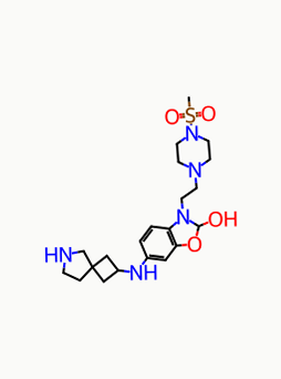 CS(=O)(=O)N1CCN(CCN2c3ccc(NC4CC5(CCNC5)C4)cc3OC2O)CC1